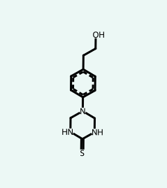 OCCc1ccc(N2CNC(=S)NC2)cc1